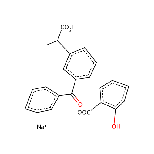 CC(C(=O)O)c1cccc(C(=O)c2ccccc2)c1.O=C([O-])c1ccccc1O.[Na+]